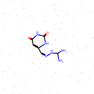 NC(N)N/N=C\c1cc(=O)[nH]c(=O)[nH]1